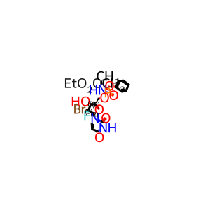 CCOC(=O)C(C)(C)NP(=O)(OC[C@H]1O[C@@H](n2ccc(=O)[nH]c2=O)[C@@](F)(Br)[C@@H]1O)Oc1ccccc1